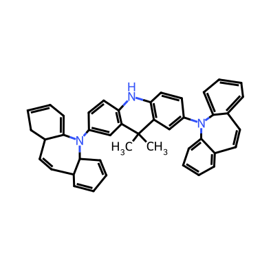 CC1(C)c2cc(N3c4ccccc4C=Cc4ccccc43)ccc2Nc2ccc(N3C4=CC=CCC4C=CC4C=CC=CC43)cc21